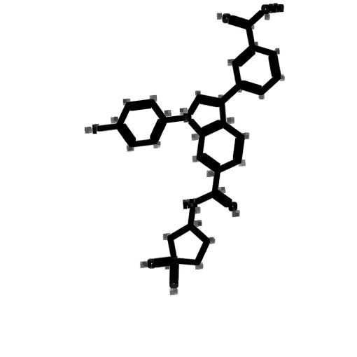 COC(=O)c1cccc(-c2cn(-c3ccc(F)cc3)c3cc(C(=O)NC4CCS(=O)(=O)C4)ccc23)c1